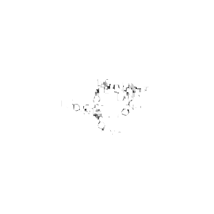 CCc1c(N2CCN(C(=O)OC(C)(C)C)CC2)c(=O)n2nc(Br)nc2n1CC(=O)Nc1ccc(C(F)(F)F)cc1.CCc1c(N2CCN(C(=O)OC(C)(C)C)CC2)c(=O)n2nc(C3=CC[C@H](OC)CC3)nc2n1CC(=O)Nc1ccc(C(F)(F)F)cc1